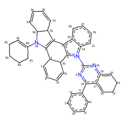 C1=CC2C3=C(c4c(n(-c5nc(-c6ccccc6)c6c(n5)=CCCC=6)c5ccccc45)C2C=C1)C1C=CC=CC1N3C1=CCCCC1